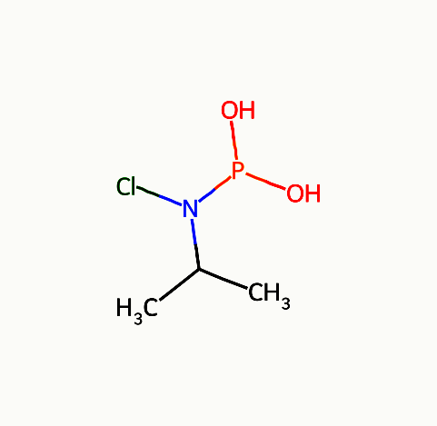 CC(C)N(Cl)P(O)O